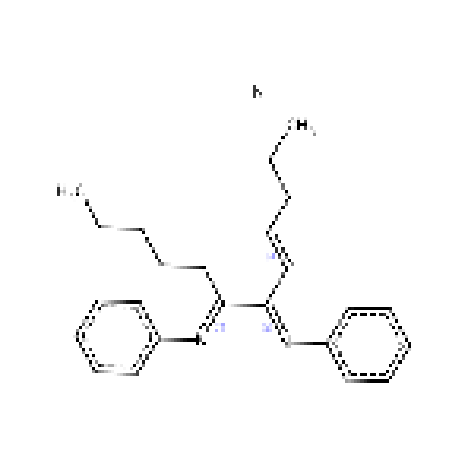 CCC/C=C/C(=N\c1ccccc1)C(/CCCCC)=N/c1ccccc1.[Ni]